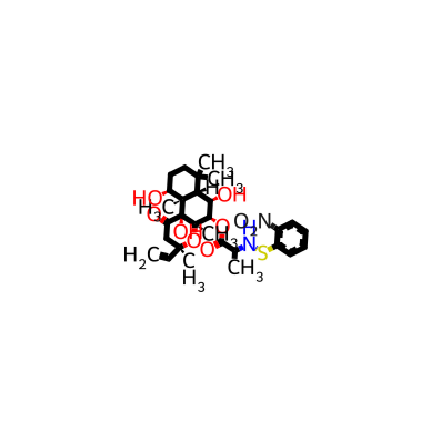 C=C[C@@]1(C)CC(=O)[C@]2(O)[C@@]3(C)[C@@H](O)CCC(C)(C)[C@@H]3[C@@H](O)[C@@H](OC(=O)C(C)NSc3ccccc3[N+](=O)[O-])[C@@]2(C)O1